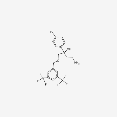 NCCC(O)(COCc1cc(C(F)(F)F)cc(C(F)(F)F)c1)c1ccc(Cl)cc1